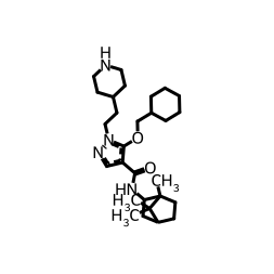 CC1(C)C2CCC1(C)C(NC(=O)c1cnn(CCC3CCNCC3)c1OCC1CCCCC1)C2